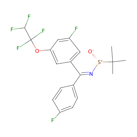 CC(C)(C)[S@@+]([O-])/N=C(/c1ccc(F)cc1)c1cc(F)cc(OC(F)(F)C(F)F)c1